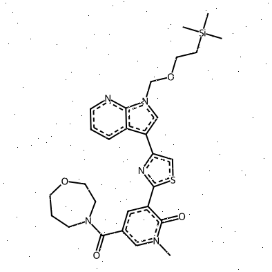 Cn1cc(C(=O)N2CCCOCC2)cc(-c2nc(-c3cn(COCC[Si](C)(C)C)c4ncccc34)cs2)c1=O